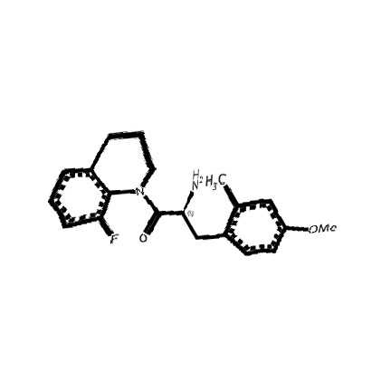 COc1ccc(C[C@H](N)C(=O)N2CCCc3cccc(F)c32)c(C)c1